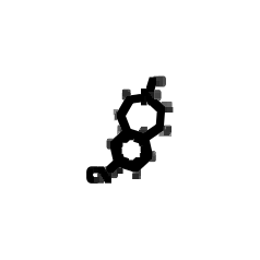 [C-]#[N+]c1ccc2c(c1)CCN(C)CC2